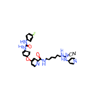 N#C/N=C(/NCCCCCCNC(=O)c1cc(Oc2ccc(NC(=O)Nc3ccc(F)cc3)cc2)ccn1)Nc1ccncc1